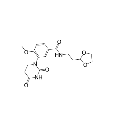 COc1ccc(C(=O)NCCC2OCCO2)cc1N1CCC(=O)NC1=O